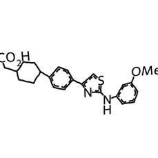 COc1cccc(Nc2nc(-c3ccc(C4CCC(CC(=O)O)CC4)cc3)cs2)c1